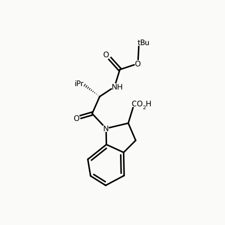 CC(C)[C@H](NC(=O)OC(C)(C)C)C(=O)N1c2ccccc2CC1C(=O)O